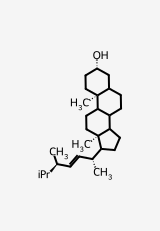 CC(C)[C@@H](C)/C=C/[C@@H](C)C1CCC2C3CCC4C[C@@H](O)CC[C@]4(C)C3CC[C@@]21C